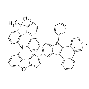 CC1(C)c2ccccc2-c2c(N(c3ccccc3)c3cccc4oc5ccc(-c6ccc7c(c6)c6c8ccccc8c8ccccc8c6n7-c6ccccc6)cc5c34)cccc21